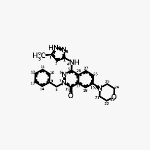 Cc1cc(Nc2nn(Cc3ccccc3)c(=O)c3cc(N4CCOCC4)ccc23)n[nH]1